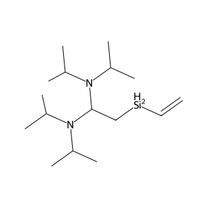 C=C[SiH2]CC(N(C(C)C)C(C)C)N(C(C)C)C(C)C